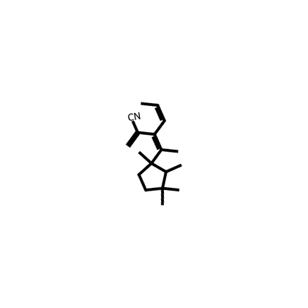 C=C(C#N)C(/C=C\C)=C(/C)C1(C)CCC(C)(C)C1C